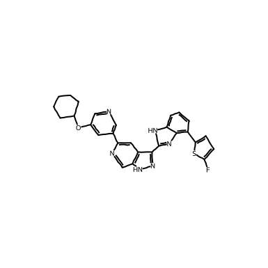 Fc1ccc(-c2cccc3[nH]c(-c4n[nH]c5cnc(-c6cncc(OC7CCCCC7)c6)cc45)nc23)s1